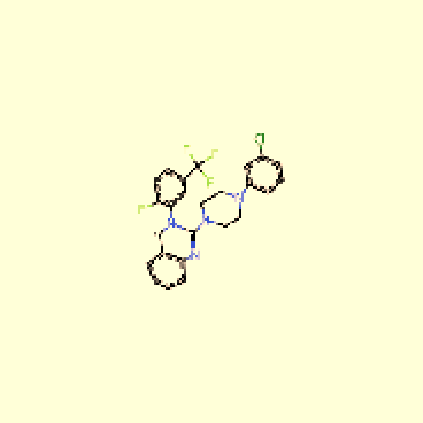 Fc1ccc(C(F)(F)F)cc1N1[C]c2ccccc2N=C1N1CCN(c2cccc(Cl)c2)CC1